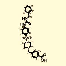 O=C(O)c1ccc(CN2CCN(S(=O)(=O)c3ccc(NC(=S)NCc4cccnc4)cc3)CC2)cc1